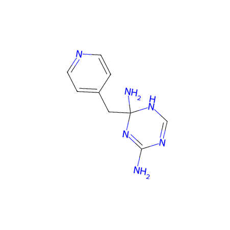 NC1=NC(N)(Cc2ccncc2)NC=N1